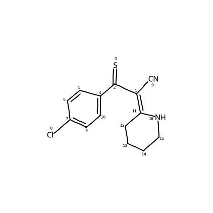 N#CC(C(=S)c1ccc(Cl)cc1)=C1CCCCN1